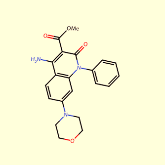 COC(=O)c1c(N)c2ccc(N3CCOCC3)cc2n(-c2ccccc2)c1=O